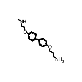 CNCCOc1ccc(-c2ccc(OCCCN)cc2)cc1